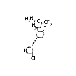 C[C@@]1(c2cc(C#Cc3cncc(Cl)c3)ccc2F)C[C@@H](C(F)(F)F)OC(N)=N1